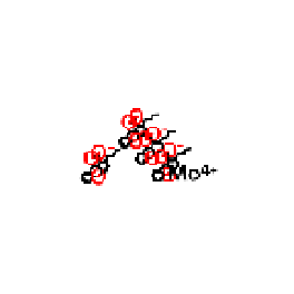 CCCCc1ccc2c(c1C(=O)[O-])Cc1ccccc1O2.CCCCc1ccc2c(c1C(=O)[O-])Cc1ccccc1O2.CCCCc1ccc2c(c1C(=O)[O-])Cc1ccccc1O2.CCCCc1ccc2c(c1C(=O)[O-])Cc1ccccc1O2.[Mo+4]